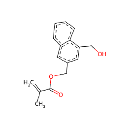 C=C(C)C(=O)OCc1cc(CO)c2ccccc2c1